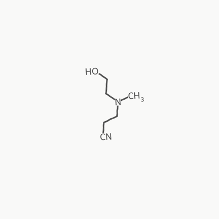 CN(CCO)CCC#N